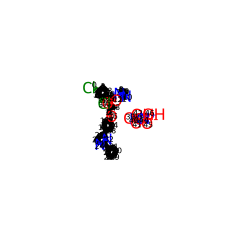 Clc1ccc(C2(Cn3ccnc3)OCC(COc3ccc(-c4ccnc(-c5ccccc5)n4)cc3)O2)c(Cl)c1.O=[N+]([O-])O.O=[N+]([O-])O